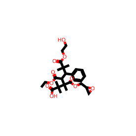 CCOC(=O)C(C(c1ccccc1)C(C)(C)C(=O)OCCO)C(C)(C(=O)OCC1CO1)C(C)(C)C(=O)O